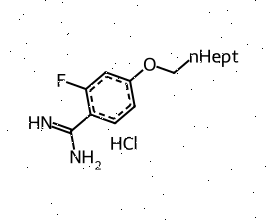 CCCCCCCCOc1ccc(C(=N)N)c(F)c1.Cl